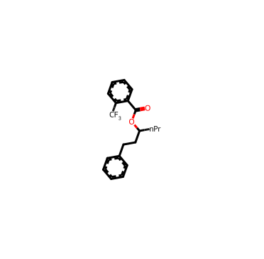 CCCC(CCc1ccccc1)OC(=O)c1ccccc1C(F)(F)F